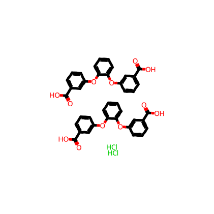 Cl.Cl.O=C(O)c1cccc(Oc2ccccc2Oc2cccc(C(=O)O)c2)c1.O=C(O)c1cccc(Oc2ccccc2Oc2cccc(C(=O)O)c2)c1